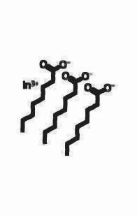 CCCCCCCC(=O)[O-].CCCCCCCC(=O)[O-].CCCCCCCC(=O)[O-].[In+3]